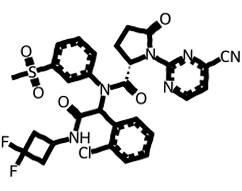 CS(=O)(=O)c1cccc(N(C(=O)[C@@H]2CCC(=O)N2c2nccc(C#N)n2)C(C(=O)NC2CC(F)(F)C2)c2ccccc2Cl)c1